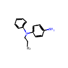 CCC(C)CCN(c1ccccc1)c1ccc(N)cc1